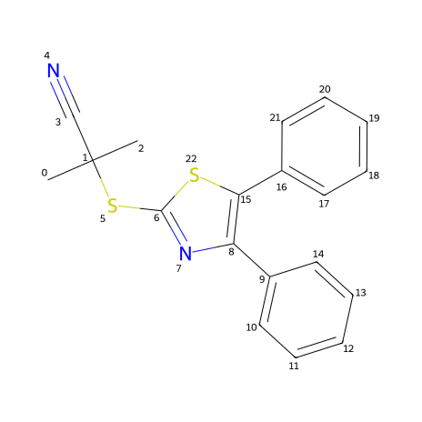 CC(C)(C#N)Sc1nc(-c2ccccc2)c(-c2ccccc2)s1